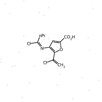 C=C(Cl)c1oc(C(=O)O)cc1/N=C(/Cl)CCC